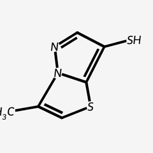 Cc1csc2c(S)cnn12